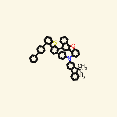 CC1(C)c2ccccc2-c2ccc(N(c3ccccc3)c3cccc4oc5c6ccccc6c(-c6cccc7c6sc6cccc(-c8ccc(-c9ccccc9)cc8)c67)cc5c34)cc21